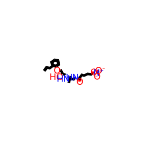 C=CCc1ccccc1OCC(O)CNC(C)(C)CNC(=O)CCCCO[N+](=O)[O-]